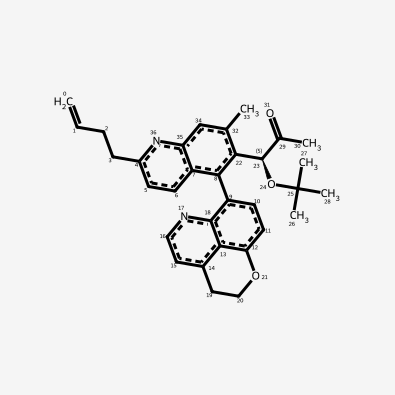 C=CCCc1ccc2c(-c3ccc4c5c(ccnc35)CCO4)c([C@H](OC(C)(C)C)C(C)=O)c(C)cc2n1